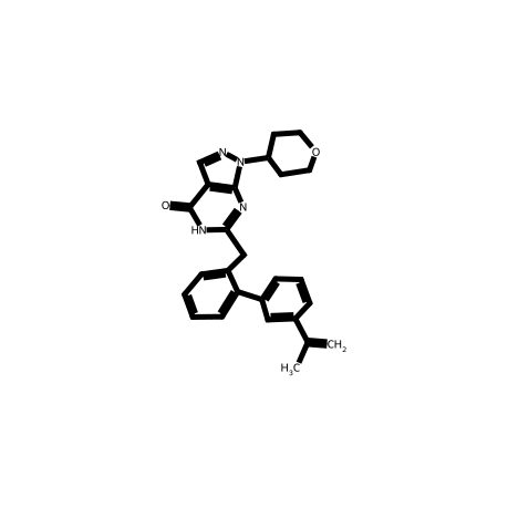 C=C(C)c1cccc(-c2ccccc2Cc2nc3c(cnn3C3CCOCC3)c(=O)[nH]2)c1